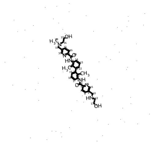 Cc1c(NC(=O)c2ccc(CNCCO)cn2)cccc1-c1cccc(NC(=O)c2ccc(CN(C)CCO)cn2)c1C